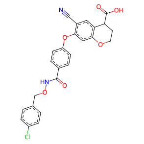 N#Cc1cc2c(cc1Oc1ccc(C(=O)NOCc3ccc(Cl)cc3)cc1)OCCC2C(=O)O